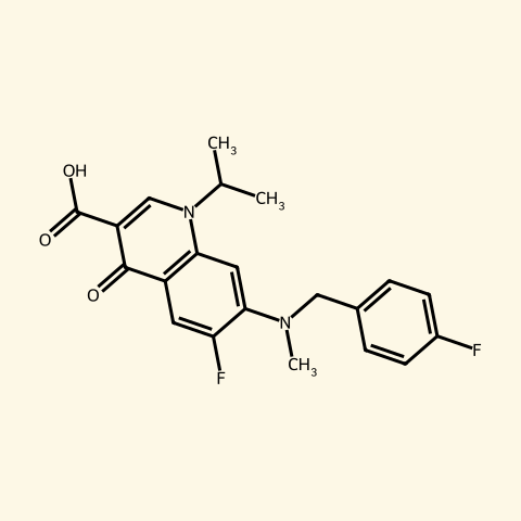 CC(C)n1cc(C(=O)O)c(=O)c2cc(F)c(N(C)Cc3ccc(F)cc3)cc21